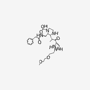 COCCOCCN1NC=C(C(=O)C(C)C2NCCN(C(=O)O)C2CNC(=O)Cc2ccccc2)N1